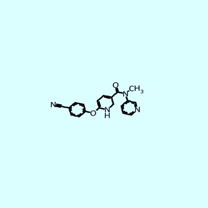 CN(C(=O)C1=CC=C(Oc2ccc(C#N)cc2)NC1)c1cccnc1